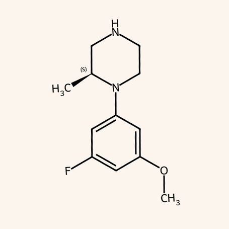 COc1cc(F)cc(N2CCNC[C@@H]2C)c1